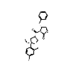 O=C1OC[C@@H](Cc2ccccc2)N1C(=O)[C@@H]1CO[C@@](CI)(c2ccc(F)cc2F)C1